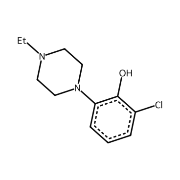 CCN1CCN(c2cccc(Cl)c2O)CC1